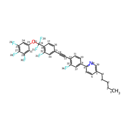 CCCCCc1ccc(-c2ccc(C#Cc3ccc(C(F)(F)Oc4cc(F)c(F)c(F)c4)c(F)c3)c(F)c2)nc1